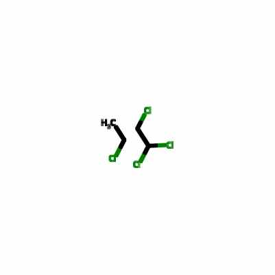 CCCl.ClCC(Cl)Cl